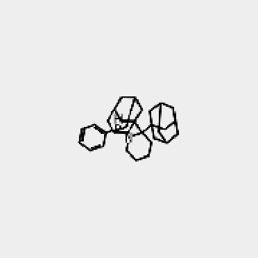 c1ccc(PN2CCCCC2(C23CC4CC(CC(C4)C2)C3)C23CC4CC(CC(C4)C2)C3)cc1